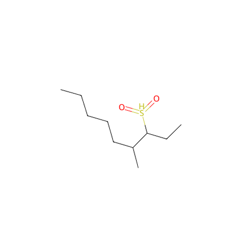 CCCCCC(C)C(CC)[SH](=O)=O